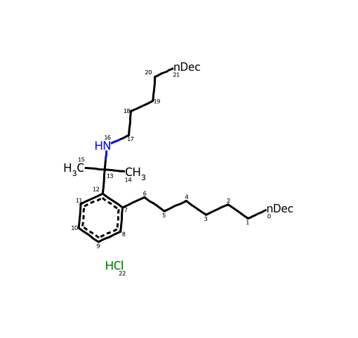 CCCCCCCCCCCCCCCCc1ccccc1C(C)(C)NCCCCCCCCCCCCCC.Cl